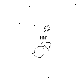 c1csc(CNCCC2(n3cccn3)CCCCCOCC2)c1